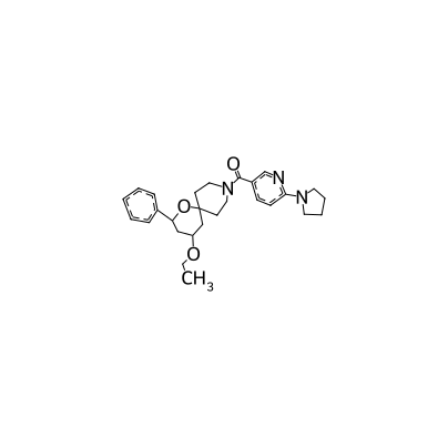 CCOC1CC(c2ccccc2)OC2(CCN(C(=O)c3ccc(N4CCCC4)nc3)CC2)C1